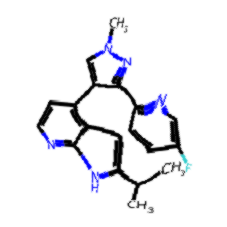 CC(C)c1cc2c(-c3cn(C)nc3-c3ccc(F)cn3)ccnc2[nH]1